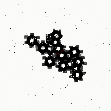 CC1(C)c2ccccc2-c2cccc(N(c3ccc(-c4ccccc4)cc3)c3ccccc3-c3ccc4c(c3)C3(c5ccccc5-4)c4ccccc4-n4c5ccccc5c5cccc3c54)c21